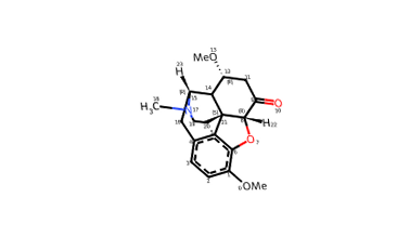 COc1ccc2c3c1O[C@H]1C(=O)C[C@@H](OC)C4[C@@H](C2)N(C)CC[C@@]341